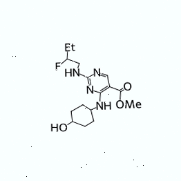 CCC(F)CNc1ncc(C(=O)OC)c(NC2CCC(O)CC2)n1